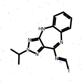 CC(C)n1nc2c(n1)C(/N=C/I)=Nc1ccccc1N2